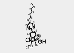 CCCCCCCc1cnc(-c2ccc(C(C)(C(=O)O)C(Cl)CC)cc2)nc1